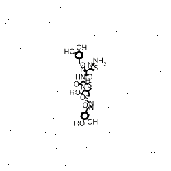 Nc1nc(C(=NOCc2ccc(O)c(O)c2)C(=O)N[C@@H]2C(=O)N3C(C(=O)O)=C(CSc4nnc(-c5ccc(O)c(O)c5)o4)CS[C@@H]23)cs1